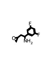 NC(CC1CO1)c1cc(F)cc(F)c1